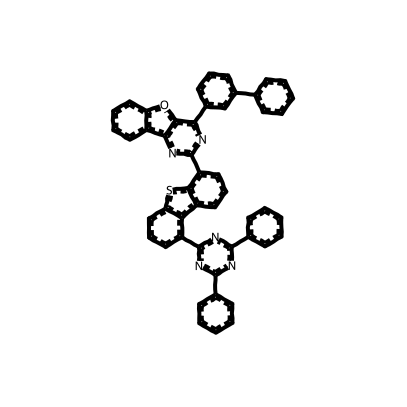 c1ccc(-c2cccc(-c3nc(-c4cccc5c4sc4cccc(-c6nc(-c7ccccc7)nc(-c7ccccc7)n6)c45)nc4c3oc3ccccc34)c2)cc1